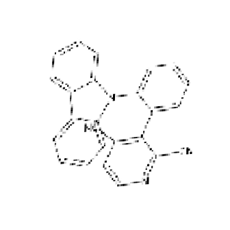 N#Cc1ccnc(C#N)c1-c1ccccc1-n1c2ccccc2c2ccccc21